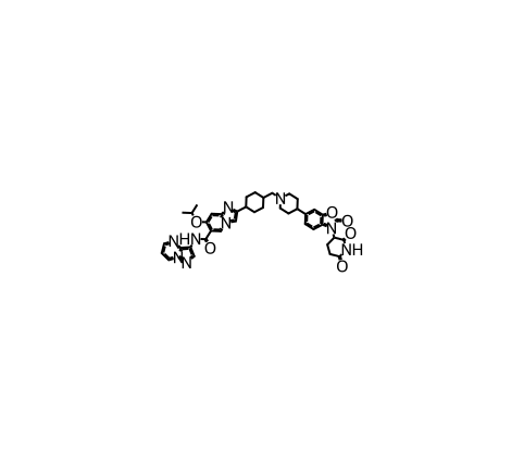 CC(C)Oc1cc2nc(C3CCC(CN4CCC(c5ccc6c(c5)oc(=O)n6C5CCC(=O)NC5=O)CC4)CC3)cn2cc1C(=O)Nc1cnn2cccnc12